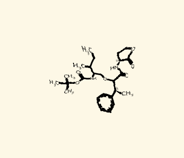 CCC(C)C(COC(C(=O)N[C@H]1CCOC1=O)[C@@H](C)c1ccccc1)NC(=O)OC(C)(C)C